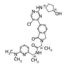 C[C@H](C(=O)N[C@H](C)c1cccc(N(C)C)n1)N1Cc2ccc(-c3nc(N[C@@H]4CC[C@@H](O)C4)ncc3Cl)cc2C1=O